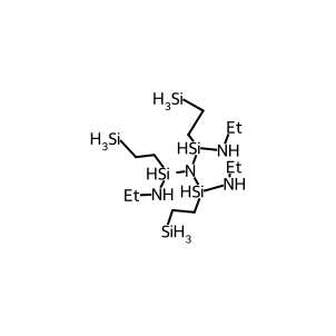 CCN[SiH](CC[SiH3])N([SiH](CC[SiH3])NCC)[SiH](CC[SiH3])NCC